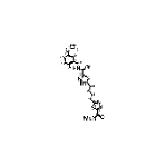 CNC(=O)c1nnc(CCCCc2nnc(C(=O)NCc3cc(OC(F)(F)F)ccc3F)s2)s1